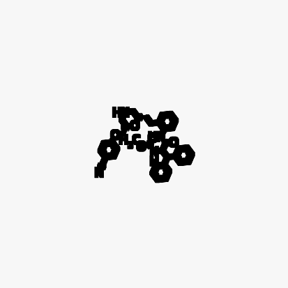 COC(=O)NC(C(=O)Nc1ccccc1CC[C@H]1CNC[C@@H](COc2ccc(C#N)cc2)O1)C(c1ccccc1)c1ccccc1